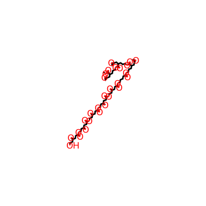 COC(=O)C(CCCOC(=O)C(CCCOC(=O)C(CCCOC(=O)CCCCOC(=O)CCC(=O)CCOC(=O)CCC(=O)CCOC(=O)CCC(=O)CCOC(=O)CCC(=O)CCOC(=O)CCC(=O)CCO)CC1CO1)CC1CO1)CC1CO1